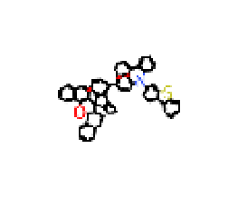 C1=CC2C(Oc3c(ccc4ccccc34)C23c2ccccc2-c2c(-c4ccc(N(c5ccc6c(c5)sc5ccccc56)c5ccccc5-c5ccccc5)cc4)cccc23)c2ccccc21